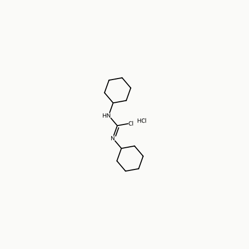 Cl.ClC(=NC1CCCCC1)NC1CCCCC1